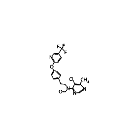 Cc1ncnc(N(C=O)CCc2ccc(Oc3ccc(C(F)(F)F)cn3)cc2)c1Cl